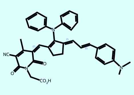 CC1=C(C#N)C(=O)N(CC(=O)O)C(=O)/C1=C\C1=C(N(c2ccccc2)c2ccccc2)C(=C/C=C/c2ccc(N(C)C)cc2)/CC1